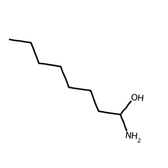 CCCCCCCC(N)O